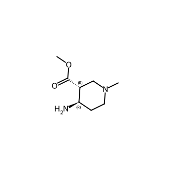 COC(=O)[C@@H]1CN(C)CC[C@H]1N